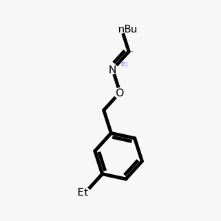 CCCC/[C]=N/OCc1cccc(CC)c1